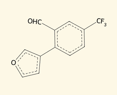 O=Cc1cc(C(F)(F)F)ccc1-c1ccoc1